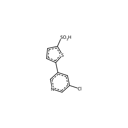 O=S(=O)(O)c1ccc(-c2cncc(Cl)c2)s1